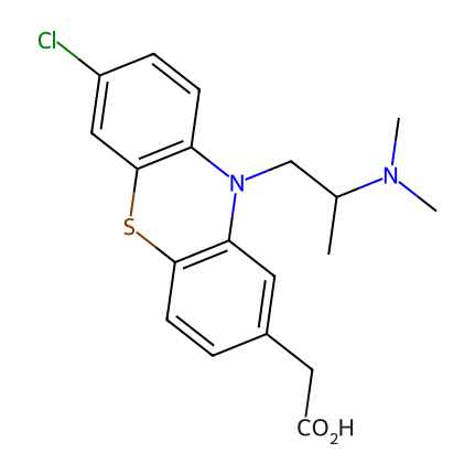 CC(CN1c2ccc(Cl)cc2Sc2ccc(CC(=O)O)cc21)N(C)C